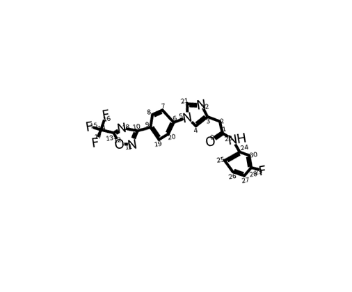 O=C(Cc1cn(-c2ccc(-c3noc(C(F)(F)F)n3)cc2)cn1)Nc1cccc(F)c1